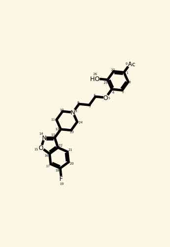 CC(=O)c1ccc(OCCCN2CCC(c3noc4cc(F)ccc34)CC2)c(O)c1